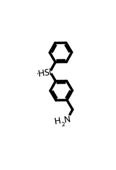 NCc1ccc([SiH]c2ccccc2)cc1